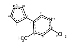 Cc1cc(C)c(-c2ccsc2)cn1